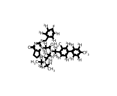 [2H]c1c([2H])c(CSc2nc(=O)c3c(n2C([2H])([2H])C(=O)N(C([2H])([2H])c2c([2H])c([2H])c(-c4c([2H])c([2H])c(C(F)(F)F)c([2H])c4[2H])c([2H])c2C)C([2H])([2H])C([2H])([2H])N(C([2H])([2H])C)C([2H])([2H])C)CCC3)c([2H])c([2H])c1F